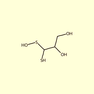 OCC(O)C(S)SO